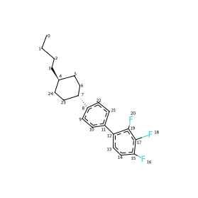 CCCC[C@H]1CC[C@H](c2ccc(-c3ccc(F)c(F)c3F)cc2)CC1